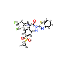 O=C(Nc1nc2ccccc2s1)/C(=C/C1CC(F)C(F)C1)c1ccc(S(=O)(=O)C2CC2)cc1